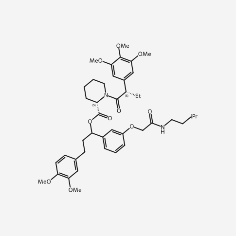 CC[C@H](C(=O)N1CCCC[C@H]1C(=O)OC(CCc1ccc(OC)c(OC)c1)c1cccc(OCC(=O)NCCC(C)C)c1)c1cc(OC)c(OC)c(OC)c1